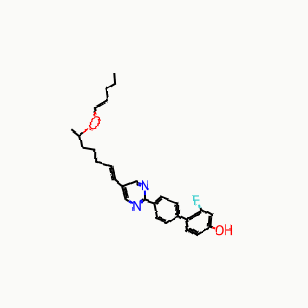 CCCCCOC(C)CCC/C=C/c1cnc(-c2ccc(-c3ccc(O)cc3F)cc2)nc1